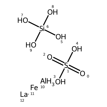 O=S(=O)(O)O.O[Si](O)(O)O.[AlH3].[Fe].[La]